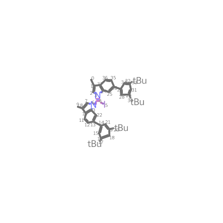 Cc1cn(P(I)n2cc(C)c3ccc(-c4cc(C(C)(C)C)cc(C(C)(C)C)c4)cc32)c2cc(-c3cc(C(C)(C)C)cc(C(C)(C)C)c3)ccc12